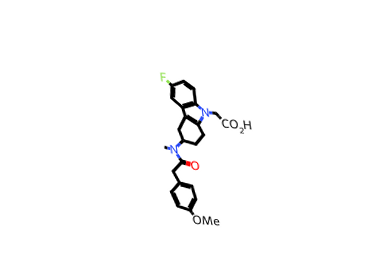 COc1ccc(CC(=O)N(C)C2CCc3c(c4cc(F)ccc4n3CC(=O)O)C2)cc1